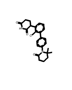 CC1(C)CCCC(=O)N1c1ccc(-c2cccc(C3CCC(=O)NC3=O)c2Cl)cc1